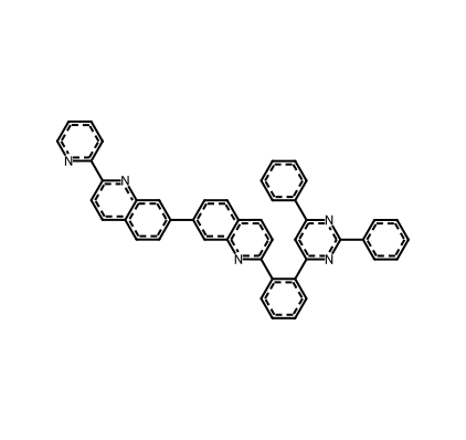 c1ccc(-c2cc(-c3ccccc3-c3ccc4ccc(-c5ccc6ccc(-c7ccccn7)nc6c5)cc4n3)nc(-c3ccccc3)n2)cc1